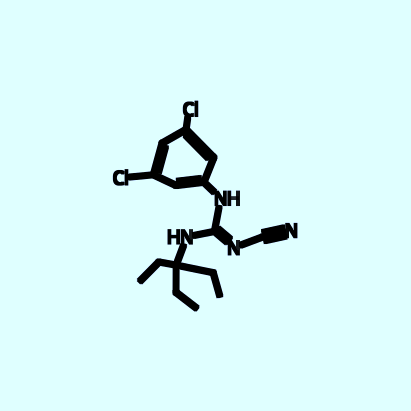 CCC(CC)(CC)N/C(=N/C#N)Nc1cc(Cl)cc(Cl)c1